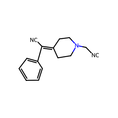 [C-]#[N+]CN1CCC(=C(C#N)c2ccccc2)CC1